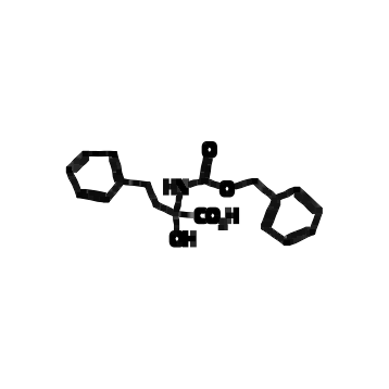 O=C(NC(O)(CCc1ccccc1)C(=O)O)OCc1ccccc1